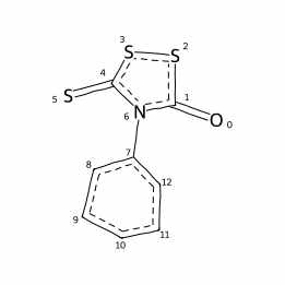 O=c1ssc(=S)n1-c1ccccc1